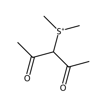 CC(=O)C(C(C)=O)[S+](C)C